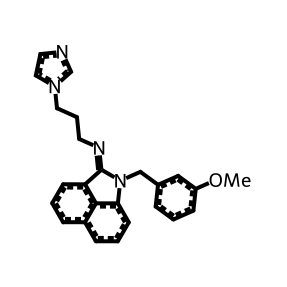 COc1cccc(CN2/C(=N/CCCn3ccnc3)c3cccc4cccc2c34)c1